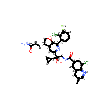 Cc1cnc2c(Cl)cc(C(=O)NCC(O)(c3cc4c(c(-c5cccc(F)c5Cl)n3)OC[C@H]4CCC(N)=O)C3CC3)cc2c1